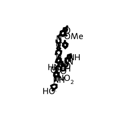 COc1cc(CN2CCN(C3CC4(CCN(c5ccc(C(=O)NS(=O)(=O)c6ccc(NC[C@H]7CC[C@](C)(O)CC7)c([N+](=O)[O-])c6)c(N6c7cc8cc[nH]c8nc7O[C@H]7COCC[C@@H]76)c5)CC4)C3)[C@H](c3ccccc3C)C2)cc2cc(C)oc12